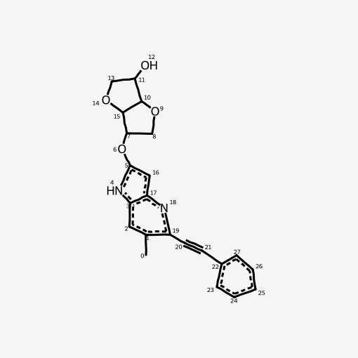 Cc1cc2[nH]c(OC3COC4C(O)COC34)cc2nc1C#Cc1ccccc1